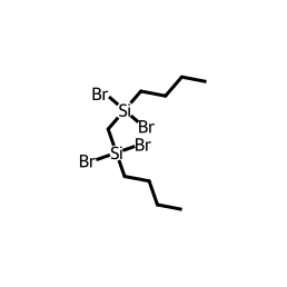 CCCC[Si](Br)(Br)C[Si](Br)(Br)CCCC